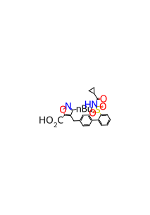 CCCCc1noc(C(=O)O)c1Cc1ccc(-c2ccccc2S(=O)(=O)NC(=O)C2CC2)cc1